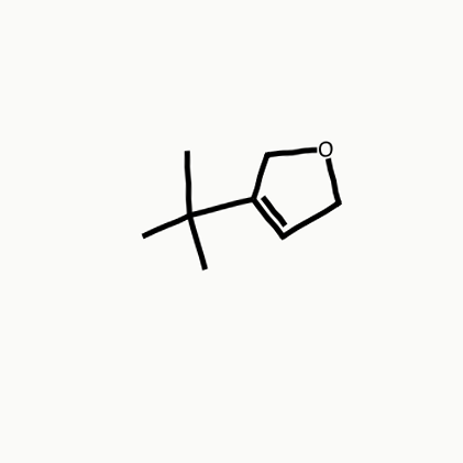 CC(C)(C)C1=CCOC1